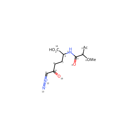 COC(C(C)=O)C(=O)NC(CCC(=O)C=[N+]=[N-])C(=O)O